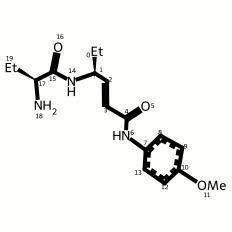 CC[C@@H](C=CC(=O)Nc1ccc(OC)cc1)NC(=O)[C@@H](N)CC